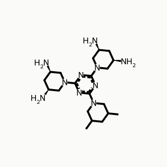 CC1CC(C)CN(c2nc(N3C[C@H](N)C[C@H](N)C3)nc(N3C[C@H](N)C[C@H](N)C3)n2)C1